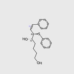 OCCCC[C@H](O)[C@@H](/C=C\c1ccccc1)Sc1ccccc1